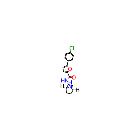 O=C(N[C@@H]1C[C@H]2CC[C@@H]1N2)c1ccc(-c2ccc(Cl)cc2)o1